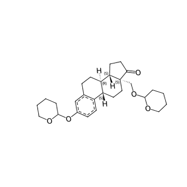 O=C1CC[C@H]2[C@@H]3CCc4cc(OC5CCCCO5)ccc4[C@H]3CC[C@]12COC1CCCCO1